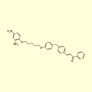 Nc1ccc(OCCCCCOc2ccc(Cc3ccc(/C=C/C(=O)c4ccccc4)cc3)cc2)c(N)c1